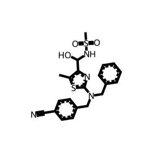 Cc1sc(N(Cc2ccccc2)Cc2ccc(C#N)cc2)nc1C(O)NS(C)(=O)=O